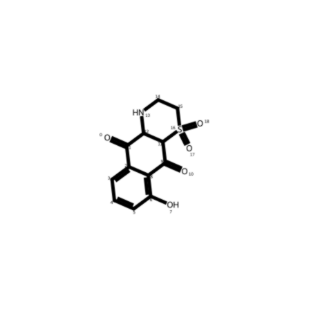 O=C1c2cccc(O)c2C(=O)C2C1NCCS2(=O)=O